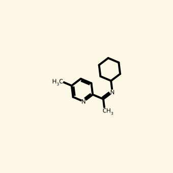 CC(=NC1CCCCC1)c1ccc(C)cn1